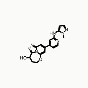 Cn1nccc1Nc1cc(-c2cc3n4c(nnc4c2)C(O)CCO3)ccn1